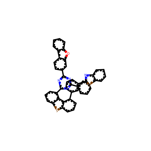 c1ccc(-c2nc(-c3ccc4c(c3)oc3ccccc34)nc(-c3cccc4sc5cccc(-c6cccc(-c7nc8ccccc8s7)c6)c5c34)n2)cc1